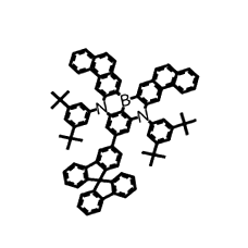 CC(C)(C)c1cc(N2c3cc4c(ccc5ccccc54)cc3B3c4cc5ccc6ccccc6c5cc4N(c4cc(C(C)(C)C)cc(C(C)(C)C)c4)c4cc(-c5ccc6c(c5)-c5ccccc5C65c6ccccc6-c6ccccc65)cc2c43)cc(C(C)(C)C)c1